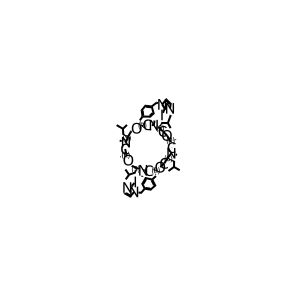 CC(C)C[C@H]1CO[C@H](C)CN(C)[C@@H](CC(C)C)CO[C@H](Cc2ccc(Cn3ccnc3I)cc2)CN(C)[C@@H](CC(C)C)CO[C@H](C)CN(C)[C@@H](CC(C)C)CO[C@H](Cc2ccc(Cn3ccnc3I)cc2)CN1C